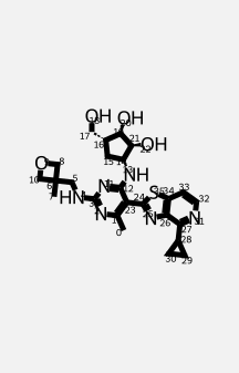 Cc1nc(NCC2(C)COC2)nc(N[C@@H]2C[C@H](CO)[C@@H](O)[C@H]2O)c1-c1nc2c(C3CC3)nccc2s1